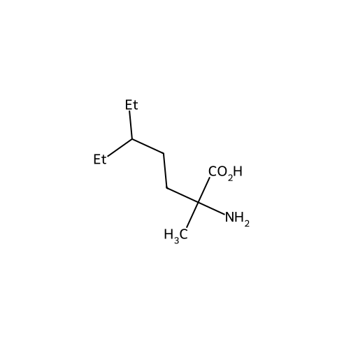 CCC(CC)CCC(C)(N)C(=O)O